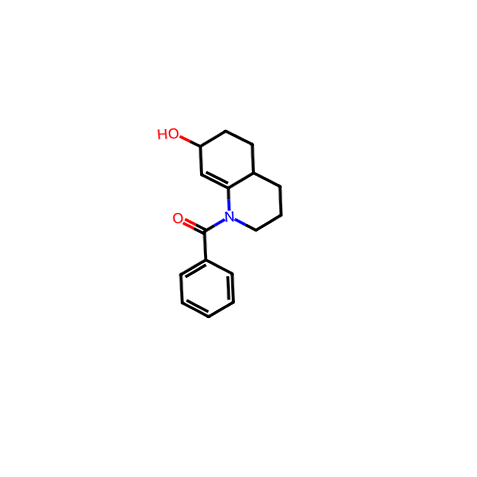 O=C(c1ccccc1)N1CCCC2CCC(O)C=C21